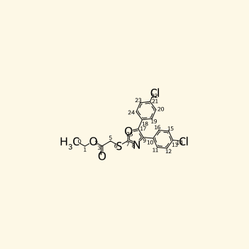 CCOC(=O)CSc1nc(-c2ccc(Cl)cc2)c(-c2ccc(Cl)cc2)o1